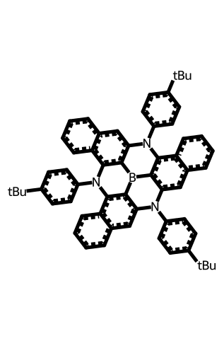 CC(C)(C)c1ccc(N2c3cc4ccccc4c4c3B3c5c2cc2ccccc2c5N(c2ccc(C(C)(C)C)cc2)c2c3c(cc3ccccc23)N4c2ccc(C(C)(C)C)cc2)cc1